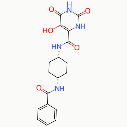 O=C(N[C@H]1CC[C@@H](NC(=O)c2[nH]c(=O)[nH]c(=O)c2O)CC1)c1ccccc1